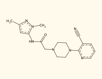 Cc1cc(NC(=O)CN2CCN(c3ncccc3C#N)CC2)n(C)n1